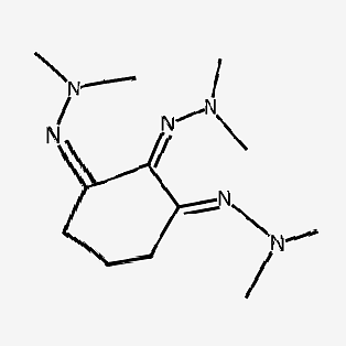 CN(C)N=C1CCCC(=NN(C)C)C1=NN(C)C